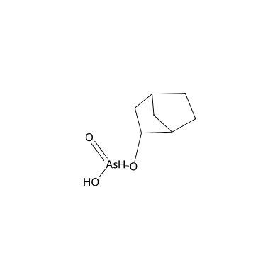 O=[AsH](O)OC1CC2CCC1C2